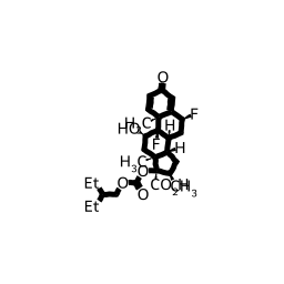 CCC(CC)COC(=O)O[C@]1(C(=O)O)[C@H](C)C[C@H]2[C@@H]3C[C@H](F)C4=CC(=O)C=C[C@]4(C)[C@@]3(F)[C@@H](O)C[C@@]21C